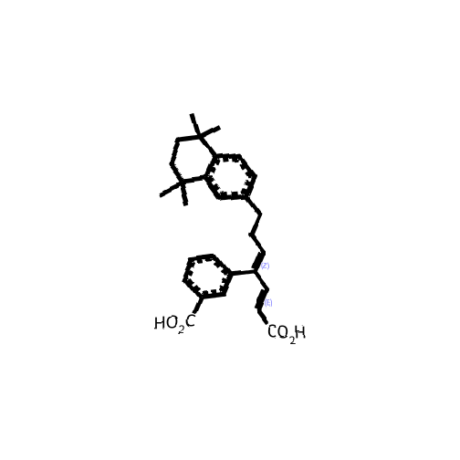 CC1(C)CCC(C)(C)c2cc(CC/C=C(/C=C/C(=O)O)c3cccc(C(=O)O)c3)ccc21